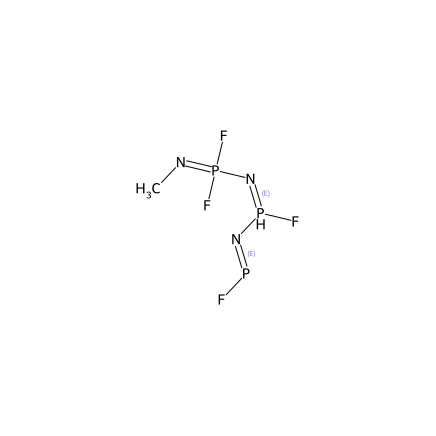 CN=P(F)(F)/N=[PH](F)\N=P\F